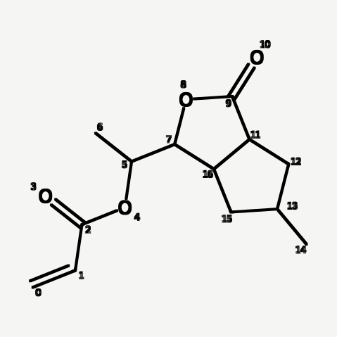 C=CC(=O)OC(C)C1OC(=O)C2CC(C)CC21